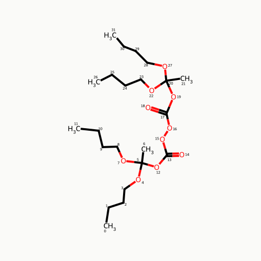 CCCCOC(C)(OCCCC)OC(=O)OOC(=O)OC(C)(OCCCC)OCCCC